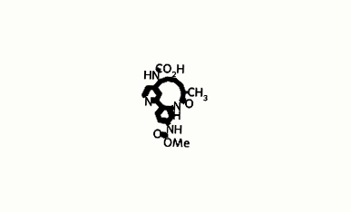 COC(=O)Nc1ccc2c(c1)NC(=O)[C@H](C)CCC[C@H](NC(=O)O)c1ccnc-2c1